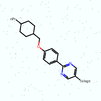 CCCCCCCc1cnc(-c2ccc(OCC3CCC(CCC)CC3)cc2)nc1